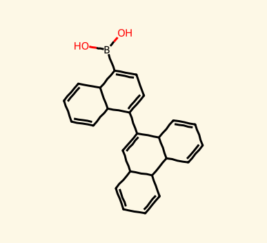 OB(O)C1=CC=C(C2=CC3C=CC=CC3C3C=CC=CC23)C2C=CC=CC12